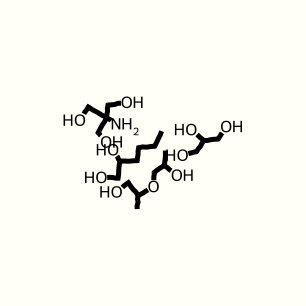 CC(O)COC(C)CO.CCCCC(O)CO.NC(CO)(CO)CO.OCC(O)CO